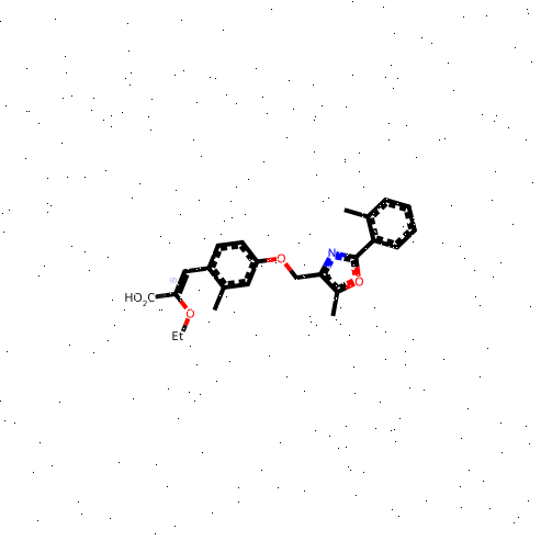 CCO/C(=C\c1ccc(OCc2nc(-c3ccccc3C)oc2C)cc1C)C(=O)O